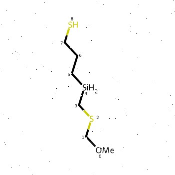 COCSC[SiH2]CCCS